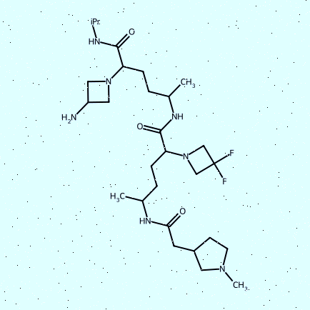 CC(C)NC(=O)C(CCC(C)NC(=O)C(CCC(C)NC(=O)CC1CCN(C)C1)N1CC(F)(F)C1)N1CC(N)C1